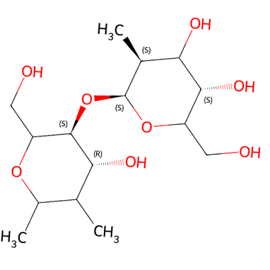 CC1OC(CO)[C@@H](O[C@@H]2OC(CO)[C@@H](O)C(O)[C@@H]2C)[C@H](O)C1C